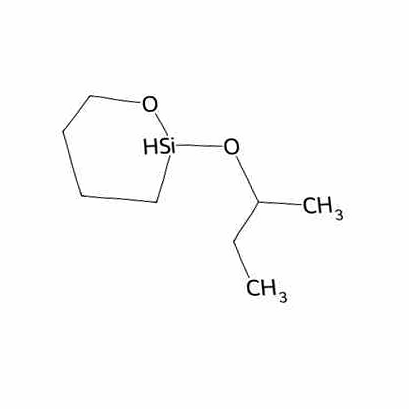 CCC(C)O[SiH]1CCCCO1